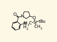 CC(C)(C)[Si](C)(C)OC1CCN(C(=O)c2ccccc2N)C1